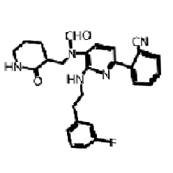 N#Cc1ccccc1-c1ccc(N(C=O)CC2CCCNC2=O)c(NCCc2cccc(F)c2)n1